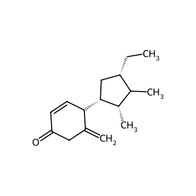 C=C1CC(=O)C=CC1[C@@H]1C[C@H](CC)C(C)[C@@H]1C